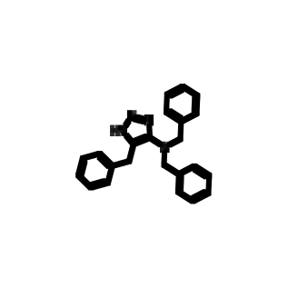 c1ccc(Cc2[nH]nnc2N(Cc2ccccc2)Cc2ccccc2)cc1